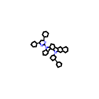 c1ccc(-c2cccc(-n3c4cc5ccccc5cc4c4ccc5c(c6ccccc6n5-c5nc(-c6ccccc6)cc(-c6ccccc6)n5)c43)c2)cc1